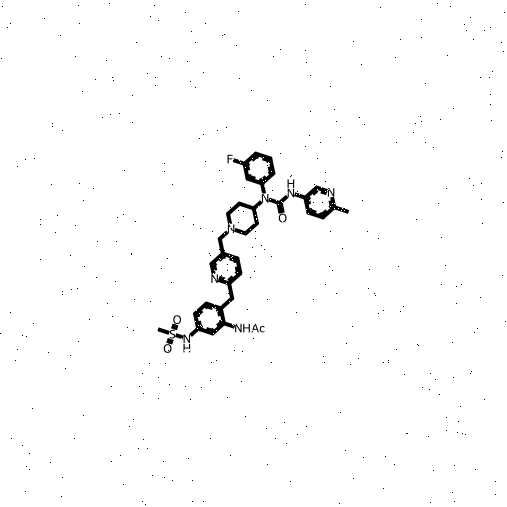 CC(=O)Nc1cc(NS(C)(=O)=O)ccc1Cc1ccc(CN2CCC(N(C(=O)Nc3ccc(C)nc3)c3cccc(F)c3)CC2)cn1